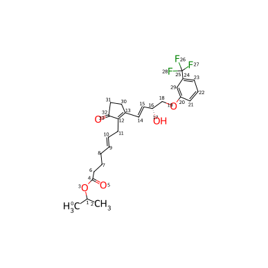 CC(C)OC(=O)CCCC=CCC1=C(C=C[C@@H](O)COc2cccc(C(F)(F)F)c2)CCC1=O